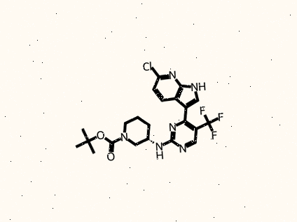 CC(C)(C)OC(=O)N1CCC[C@H](Nc2ncc(C(F)(F)F)c(-c3c[nH]c4nc(Cl)ccc34)n2)C1